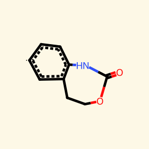 O=C1Nc2cc[c]cc2CCO1